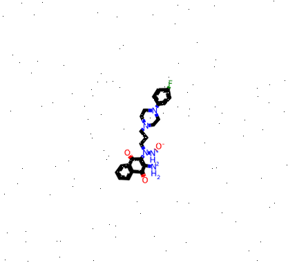 NC1=C(N(CCCN2CCN(c3ccc(F)cc3)CC2)[NH2+][O-])C(=O)c2ccccc2C1=O